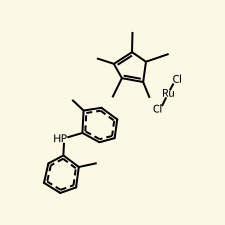 CC1=C(C)C(C)C(C)=C1C.Cc1ccccc1Pc1ccccc1C.[Cl][Ru][Cl]